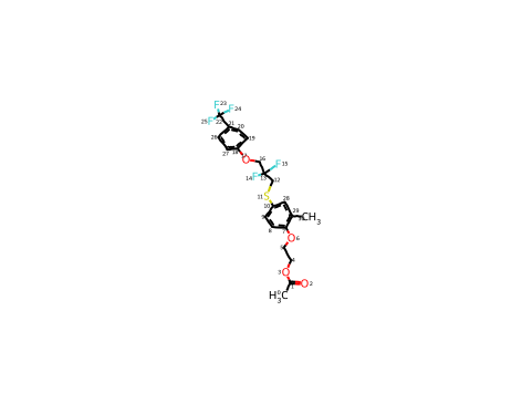 CC(=O)OCCOc1ccc(SCC(F)(F)COc2ccc(C(F)(F)F)cc2)cc1C